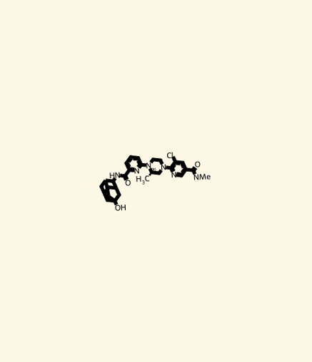 CNC(=O)c1cnc(N2CCN(c3cccc(C(=O)NC4C5CC6CC4CC(O)(C6)C5)n3)[C@H](C)C2)c(Cl)c1